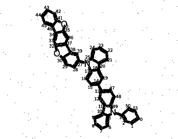 c1ccc(-n2c3ccccc3c3cc(-c4ccc5c(c4)c4ccccc4n5-c4ccc5oc6cc7c(cc6c5c4)oc4ccccc47)ccc32)cc1